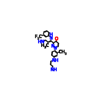 C/C(C=N)=C(/Nc1cccc(C(F)(F)F)c1)c1nn(-c2ccc(N/C=C\C=N)cc2C)ccc1=O